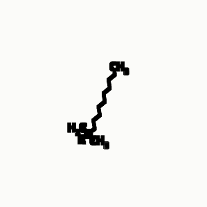 CCCCCCCCCC[Si](C)(C)[K]